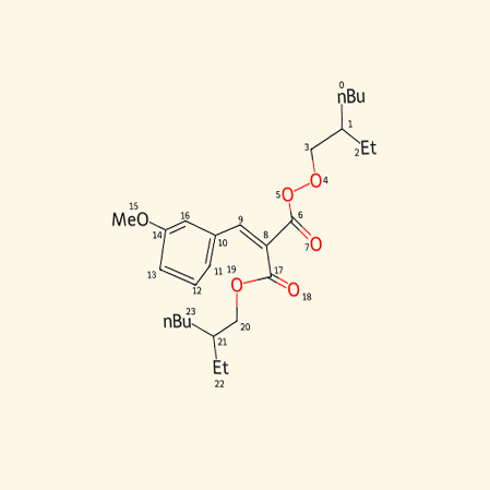 CCCCC(CC)COOC(=O)C(=Cc1cccc(OC)c1)C(=O)OCC(CC)CCCC